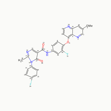 COc1cnc2c(Oc3ccc(NC(=O)c4cnc(C)n(-c5ccc(F)cc5)c4=O)cc3F)ccnc2c1